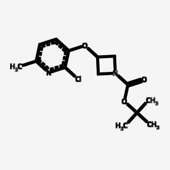 Cc1ccc(OC2CN(C(=O)OC(C)(C)C)C2)c(Cl)n1